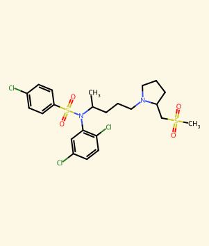 CC(CCCN1CCCC1CS(C)(=O)=O)N(c1cc(Cl)ccc1Cl)S(=O)(=O)c1ccc(Cl)cc1